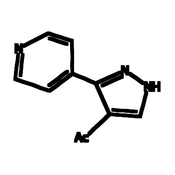 CC(=O)c1c[nH]nc1-c1ccncc1